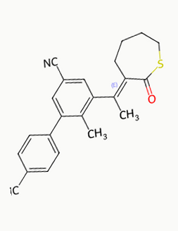 C/C(=C1/CCCCSC1=O)c1cc(C#N)cc(-c2ccc(C#N)cc2)c1C